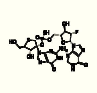 Nc1nc2c(ncn2[C@]2(O[P@](=O)(S)OC[C@H]3O[C@@H](n4cnc5c(=O)[nH]cnc54)[C@@H](F)[C@@H]3O)CS[C@H](CO)[C@H]2O)c(=O)[nH]1